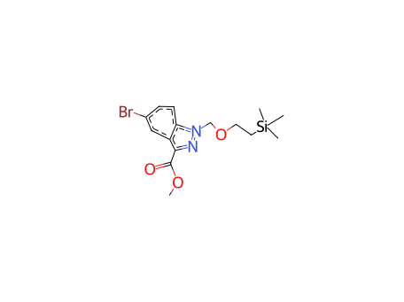 COC(=O)c1nn(COCC[Si](C)(C)C)c2ccc(Br)cc12